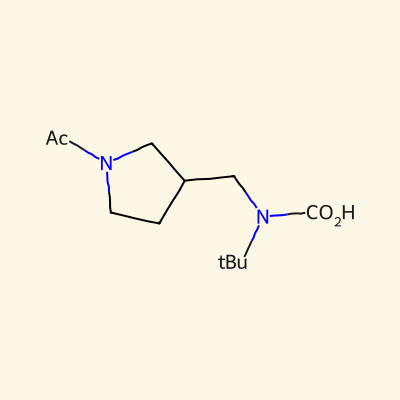 CC(=O)N1CCC(CN(C(=O)O)C(C)(C)C)C1